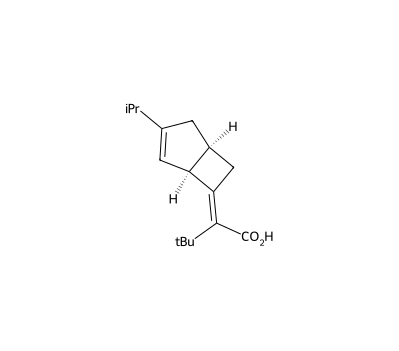 CC(C)C1=C[C@@H]2C(=C(C(=O)O)C(C)(C)C)C[C@@H]2C1